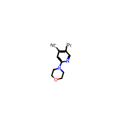 CC(C)c1cnc(N2CCOCC2)cc1C#N